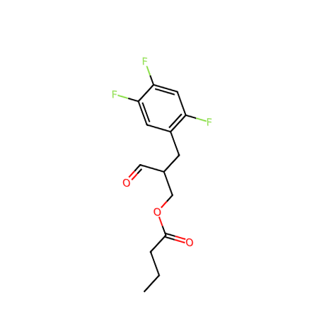 CCCC(=O)OCC(C=O)Cc1cc(F)c(F)cc1F